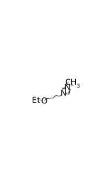 CCOCCCCn1cc[n+](C)c1